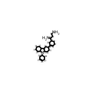 NCCC(N)C1CCC=C(C2CCC3C(C2)C2CCCCC2N3C2CC=CCC2)C1